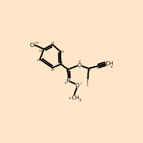 C#CC(I)OC(=NOC)c1ccc(Cl)cc1